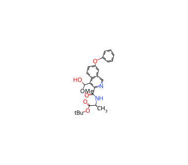 COC(O)c1c(C(=O)N[C@@H](C)C(=O)OC(C)(C)C)ncc2cc(Oc3ccccc3)ccc12